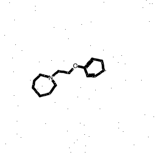 [CH]1C=CC(OCCN2CCCCCC2)=CC1